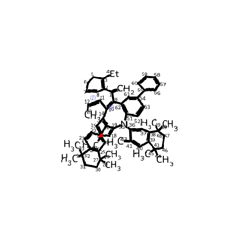 C=C(C1=C(CC)CCC=C1)/C1=C(\C=C/C)c2cc(C)cc(c2-c2ccc3c(c2)C(C)(C)CCC3(C)C)N(c2cc3c(cc2C)C(C)(C)CCC3(C)C)c2ccc(-c3ccccc3)cc21